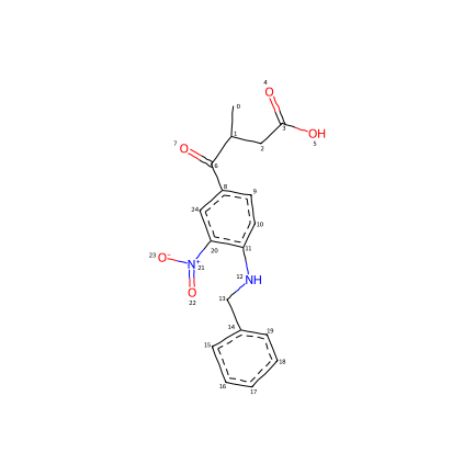 CC(CC(=O)O)C(=O)c1ccc(NCc2ccccc2)c([N+](=O)[O-])c1